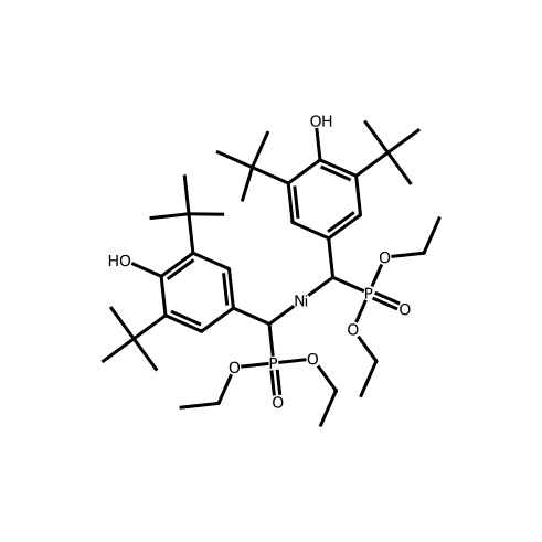 CCOP(=O)(OCC)[CH]([Ni][CH](c1cc(C(C)(C)C)c(O)c(C(C)(C)C)c1)P(=O)(OCC)OCC)c1cc(C(C)(C)C)c(O)c(C(C)(C)C)c1